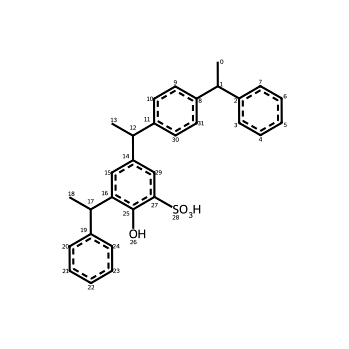 CC(c1ccccc1)c1ccc(C(C)c2cc(C(C)c3ccccc3)c(O)c(S(=O)(=O)O)c2)cc1